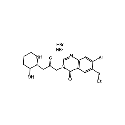 Br.Br.CCSc1cc2c(=O)n(CC(=O)CC3NCCCC3O)cnc2cc1Br